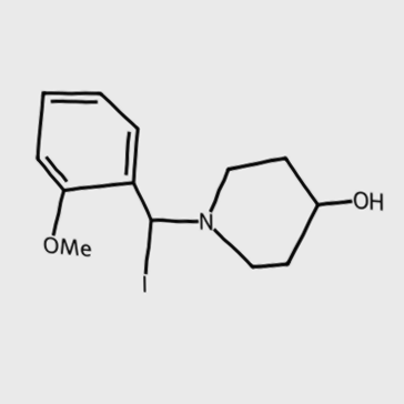 COc1ccccc1C(I)N1CCC(O)CC1